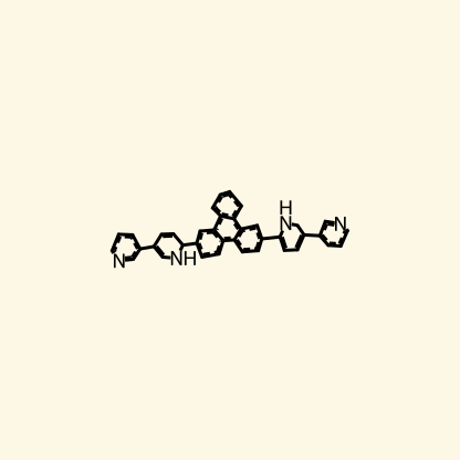 C1=CC(c2ccc3c4ccc(C5=CC=C(c6cccnc6)CN5)cc4c4ccccc4c3c2)NC=C1c1cccnc1